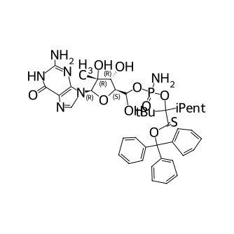 CCCC(C)C(OP(N)(=O)OC(O)[C@H]1O[C@@H](n2cnc3c(=O)[nH]c(N)nc32)[C@](C)(O)[C@@H]1O)(C(=S)OC(c1ccccc1)(c1ccccc1)c1ccccc1)C(C)(C)C